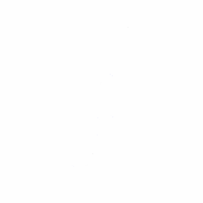 CCNC(=O)C(C)(C)/C=C/n1ncc(C(=O)NC(C)C2CC3CCC[C@@](O)(C3)C2)c1OCC(C)C